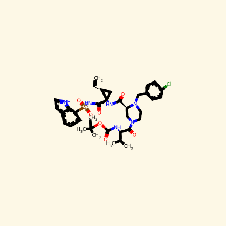 C=C[C@@H]1C[C@]1(NC(=O)[C@@H]1CN(C(=O)[C@@H](NC(=O)OC(C)(C)C)C(C)C)CCN1Cc1ccc(Cl)cc1)C(=O)NS(=O)(=O)c1cccc2cc[nH]c12